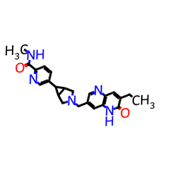 CCc1cc2ncc(CN3CC4C(C3)C4c3ccc(C(=O)NC)nc3)cc2[nH]c1=O